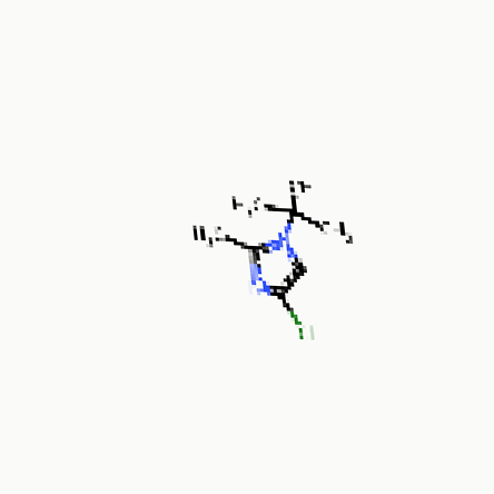 Cc1nc(Cl)cn1C(C)(C)C